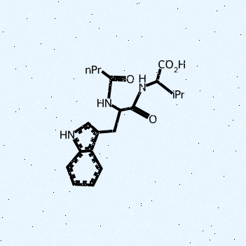 CCCC(=O)NC(Cc1c[nH]c2ccccc12)C(=O)NC(C(=O)O)C(C)C